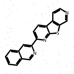 c1ccc2cc(-c3ccc4c(n3)sc3cnccc34)ncc2c1